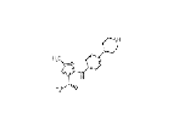 Cc1nc(C(N)=O)c(Nc2ccc(N3CCNCC3)cc2)o1